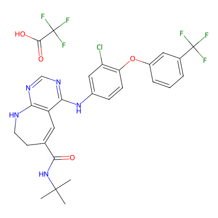 CC(C)(C)NC(=O)C1=Cc2c(ncnc2Nc2ccc(Oc3cccc(C(F)(F)F)c3)c(Cl)c2)NCC1.O=C(O)C(F)(F)F